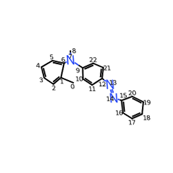 Cc1ccccc1N(C)c1ccc(N=Nc2ccccc2)cc1